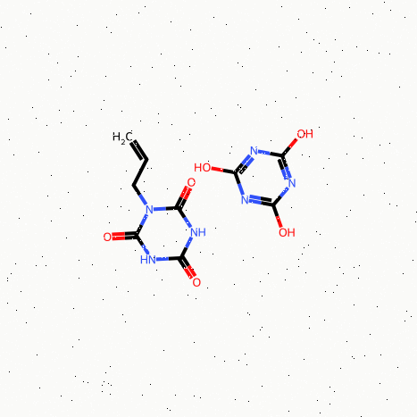 C=CCn1c(=O)[nH]c(=O)[nH]c1=O.Oc1nc(O)nc(O)n1